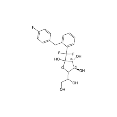 OCC(O)C1OC(O)(C(F)(F)c2ccccc2Cc2ccc(F)cc2)[C@H](O)[C@H]1O